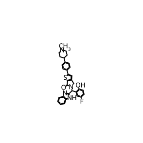 CN1CCC(c2ccc(-c3cc4c(s3)C(=O)N(C(c3nc5ccccc5[nH]3)c3cc(F)ccc3O)C4)cc2)CC1